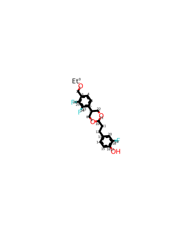 CCOCc1ccc(C2COC(CCc3ccc(O)c(F)c3)OC2)c(F)c1F